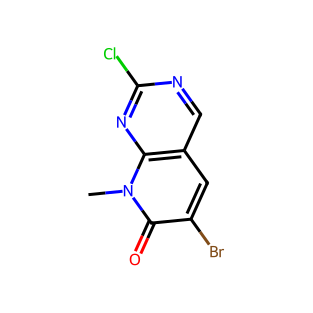 Cn1c(=O)c(Br)cc2cnc(Cl)nc21